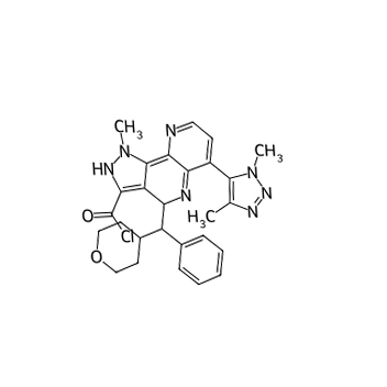 Cc1nnn(C)c1-c1ccnc2c1=NC(C(c1ccccc1)C1CCOCC1)C1=C(C(=O)Cl)NN(C)C=21